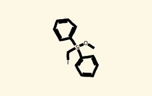 CO[Si](CI)(c1ccccc1)c1ccccc1